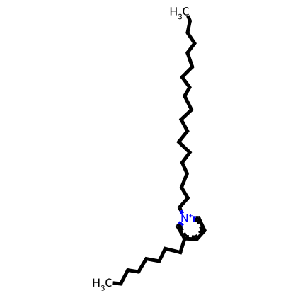 CCCCCCCCCCCCCCCCCCC[n+]1cccc(CCCCCCCC)c1